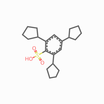 O=S(=O)(O)c1c(C2CCCC2)cc(C2CCCC2)cc1C1CCCC1